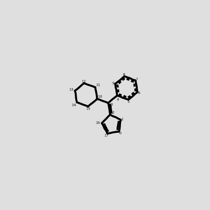 C1=CC(=C(c2ccccc2)C2CCCCC2)C=C1